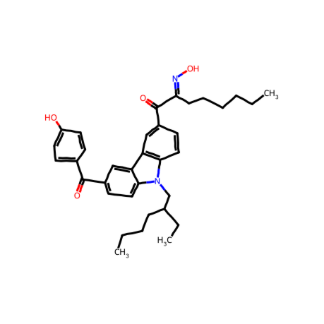 CCCCCC/C(=N\O)C(=O)c1ccc2c(c1)c1cc(C(=O)c3ccc(O)cc3)ccc1n2CC(CC)CCCC